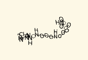 Cn1ncc(-c2nc(N[C@H]3CC[C@H](NCCOCCOCCOCCNCc4ccc(COc5cccc6c5CC([C@H]5CCC(=O)NC5=O)C6=O)cc4)CC3)ncc2Cl)c1CC1CC1